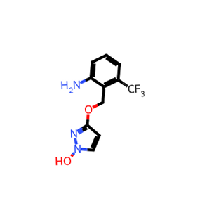 Nc1cccc(C(F)(F)F)c1COc1ccn(O)n1